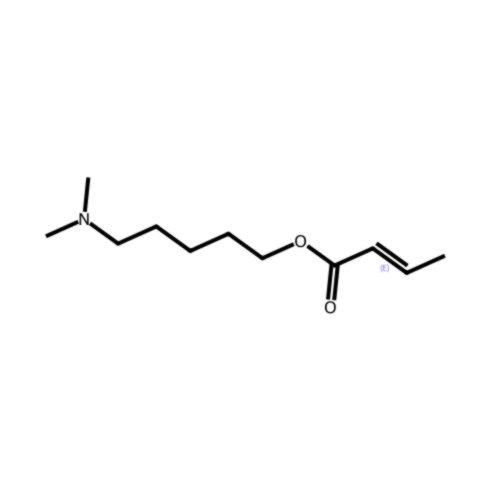 C/C=C/C(=O)OCCCCCN(C)C